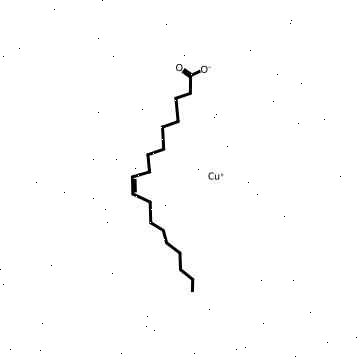 CCCCCCCC/C=C\CCCCCCCC(=O)[O-].[Cu+]